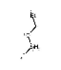 CCCO[SiH2]F